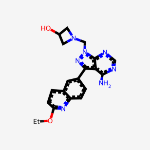 CCOc1ccc2cc(-c3nn(CN4CC(O)C4)c4ncnc(N)c34)ccc2n1